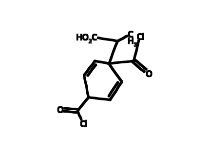 CC(C(=O)O)C1(C(=O)Cl)C=CC(C(=O)Cl)C=C1